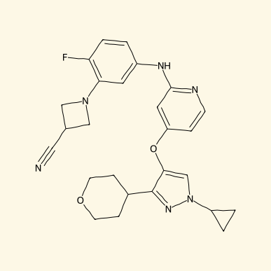 N#CC1CN(c2cc(Nc3cc(Oc4cn(C5CC5)nc4C4CCOCC4)ccn3)ccc2F)C1